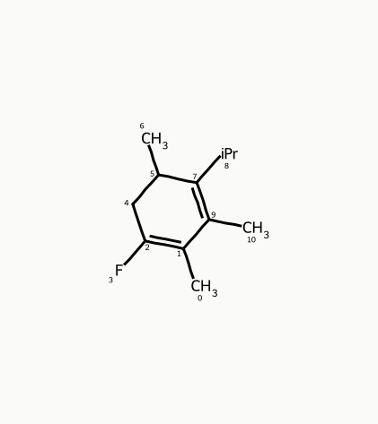 CC1=C(F)CC(C)C(C(C)C)=C1C